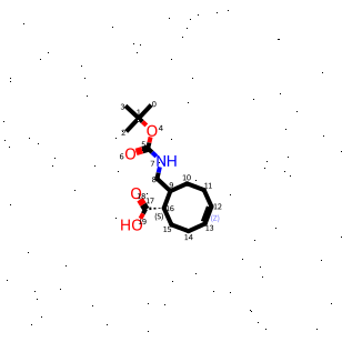 CC(C)(C)OC(=O)NCC1CC/C=C\CC[C@@H]1C(=O)O